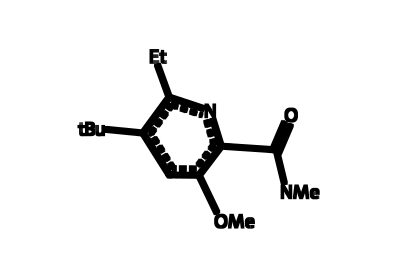 CCc1nc(C(=O)NC)c(OC)cc1C(C)(C)C